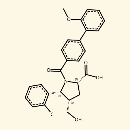 COc1ccccc1-c1ccc(C(=O)N2[C@H](C(=O)O)C[C@H](CO)[C@@H]2c2ccccc2Cl)cc1